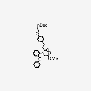 CCCCCCCCCCCCOc1ccc(CCC(=O)N(CC(=O)OC)c2ccccc2Oc2ccccc2)cc1